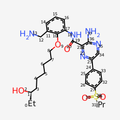 CC[C@@H](O)CCCCCCOc1c(CN)cccc1NC(=O)c1nc(-c2ccc(S(=O)(=O)C(C)C)cc2)cnc1N